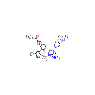 C=CC(=O)NCc1cccc(-c2cc(Cl)ccc2[C@@H](Oc2cc(N3CCC4(CC3)CN[C@H](C(=O)OCC)C4)nc(N)n2)C(F)(F)F)c1